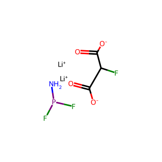 NP(F)F.O=C([O-])C(F)C(=O)[O-].[Li+].[Li+]